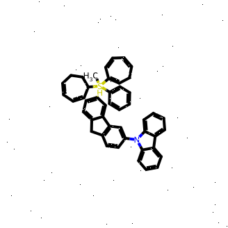 C[SH](C1=CCC=CC=C1)(c1ccccc1)(c1ccc2c(c1)-c1cc(-n3c4ccccc4c4ccccc43)ccc1C2)C1C=CC=CCC1